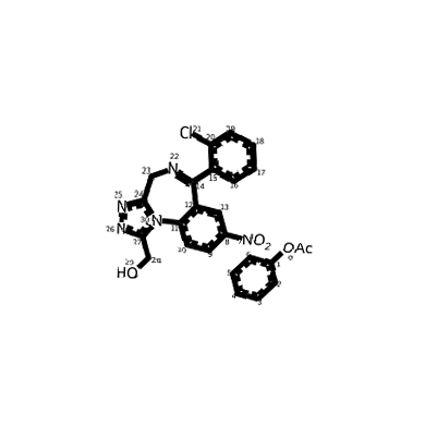 CC(=O)Oc1ccccc1.O=[N+]([O-])c1ccc2c(c1)C(c1ccccc1Cl)=NCc1nnc(CO)n1-2